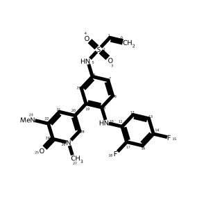 C=CS(=O)(=O)Nc1ccc(Nc2ccc(F)cc2F)c(-c2cc(NC)c(=O)n(C)c2)c1